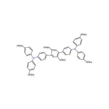 CCCCCCc1ccc(N(c2ccc(CCCCCC)cc2)c2ccc(-c3cc(CCCCCC)c(-c4ccc(N(c5ccc(CCCCCC)cc5)c5ccc(CCCCCC)cc5)cc4)cc3CCCCCC)cc2)cc1